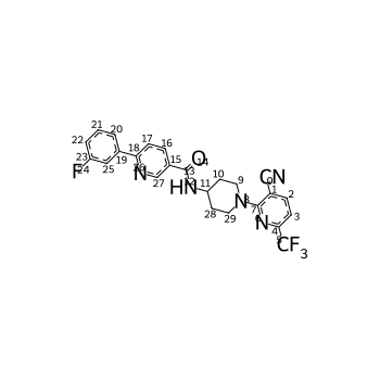 N#Cc1ccc(C(F)(F)F)nc1N1CCC(NC(=O)c2ccc(-c3cccc(F)c3)nc2)CC1